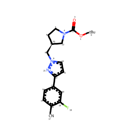 CC(C)(C)OC(=O)N1CC[C@H](Cn2ccc(-c3ccc(C#N)c(F)c3)n2)C1